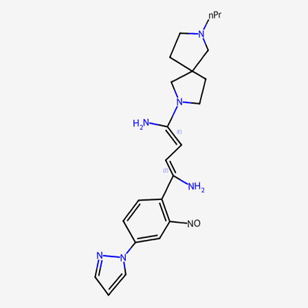 CCCN1CCC2(CCN(/C(N)=C/C=C(\N)c3ccc(-n4cccn4)cc3N=O)C2)C1